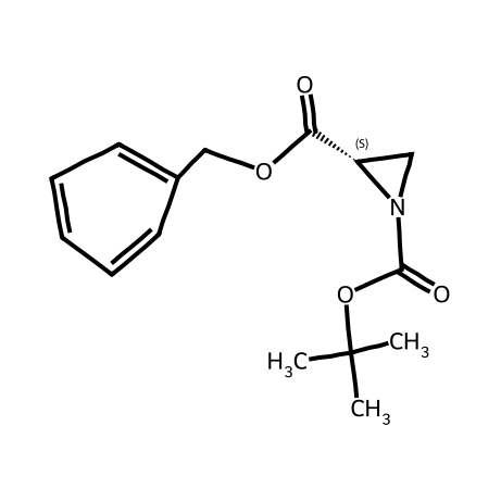 CC(C)(C)OC(=O)N1C[C@H]1C(=O)OCc1ccccc1